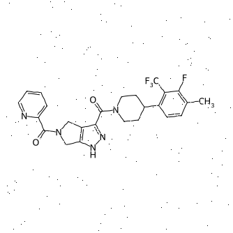 Cc1ccc(C2CCN(C(=O)c3n[nH]c4c3CN(C(=O)c3ccccn3)C4)CC2)c(C(F)(F)F)c1F